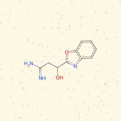 N=C(N)CC(O)c1nc2ccccc2o1